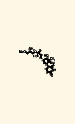 COC[C@H](N)COP(=O)(O)OC[C@H]1O[C@@H](n2ccc(=O)[nH]c2=S)C(C)(O)[C@H]1O